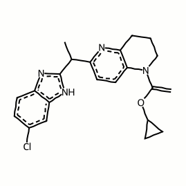 C=C(OC1CC1)N1CCCc2nc(C(C)c3nc4ccc(Cl)cc4[nH]3)ccc21